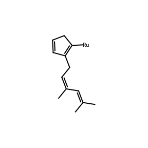 CC(C)=CC(C)=CCC1=[C]([Ru])CC=C1